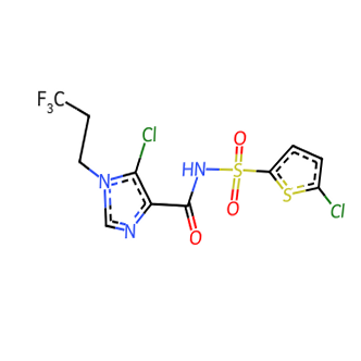 O=C(NS(=O)(=O)c1ccc(Cl)s1)c1ncn(CCC(F)(F)F)c1Cl